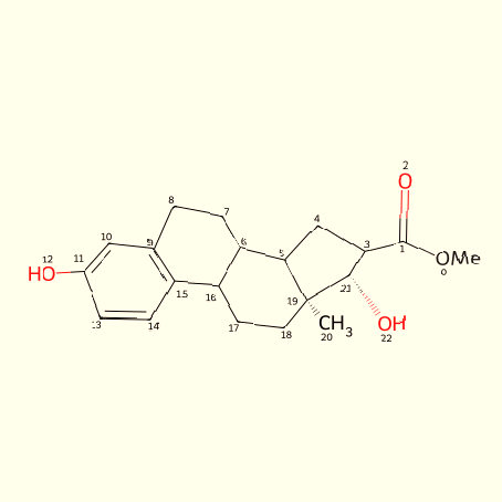 COC(=O)C1CC2C3CCc4cc(O)ccc4C3CC[C@]2(C)[C@H]1O